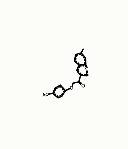 CC(=O)c1ccc(OCC(=O)c2ccc3cc(C)ccc3c2)cc1